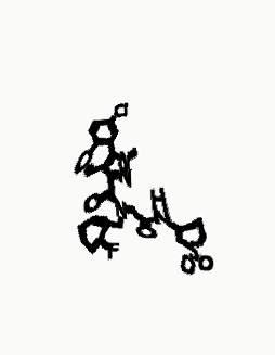 Cn1nc(C(=O)N(CC(=O)NC2CCS(=O)(=O)C2)Cc2ccccc2F)c2c1-c1cc(Cl)ccc1OC2